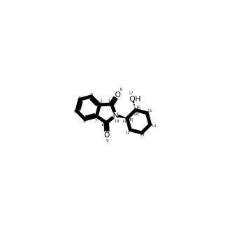 O=C1c2ccccc2C(=O)N1[C@@H]1CCCC[C@H]1O